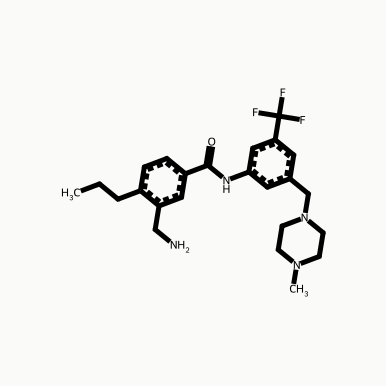 CCCc1ccc(C(=O)Nc2cc(CN3CCN(C)CC3)cc(C(F)(F)F)c2)cc1CN